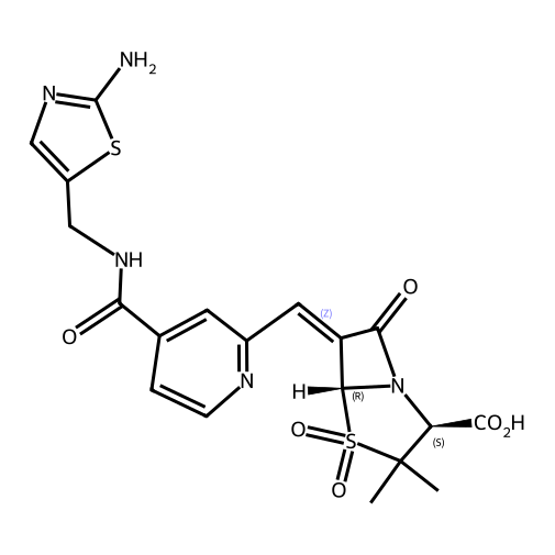 CC1(C)[C@H](C(=O)O)N2C(=O)/C(=C/c3cc(C(=O)NCc4cnc(N)s4)ccn3)[C@H]2S1(=O)=O